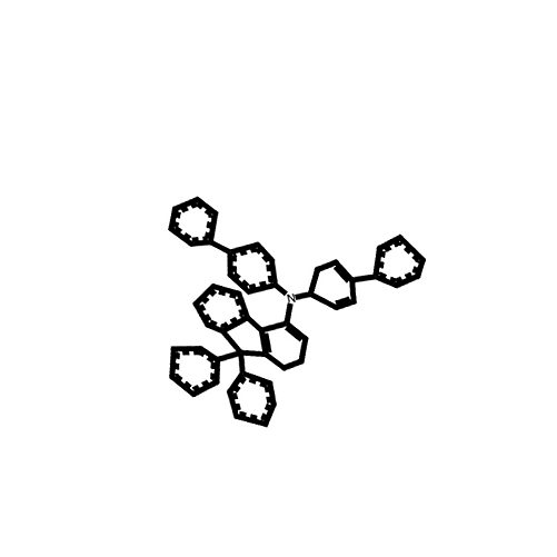 C1=CC(N(C2=CCCC3=C2c2ccccc2C3(c2ccccc2)c2ccccc2)c2ccc(-c3ccccc3)cc2)CC=C1c1ccccc1